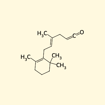 CC1=C(C/C=C(\C)CC=C=O)C(C)(C)CCC1